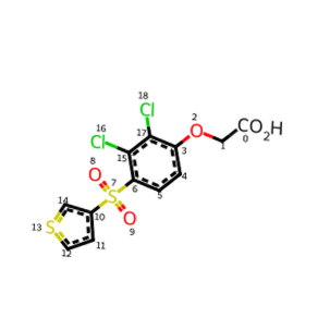 O=C(O)COc1ccc(S(=O)(=O)c2ccsc2)c(Cl)c1Cl